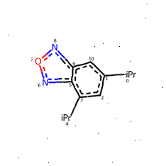 CC(C)c1cc(C(C)C)c2nonc2c1